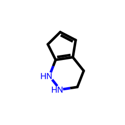 C1=CC2=C(C1)NNCC2